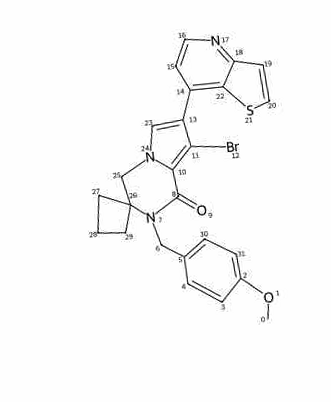 COc1ccc(CN2C(=O)c3c(Br)c(-c4ccnc5ccsc45)cn3CC23CCC3)cc1